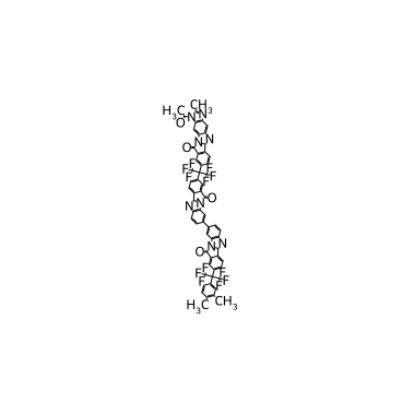 CC(=O)n1c(C)nc2cc3nc4n(c3cc21)C(=O)c1cc(C(c2ccc3c(c2)C(=O)n2c-3nc3ccc(-c5ccc6nc7n(c6c5)C(=O)c5cc(C(c6ccc(C)c(C)c6)(C(F)(F)F)C(F)(F)F)ccc5-7)cc32)(C(F)(F)F)C(F)(F)F)ccc1-4